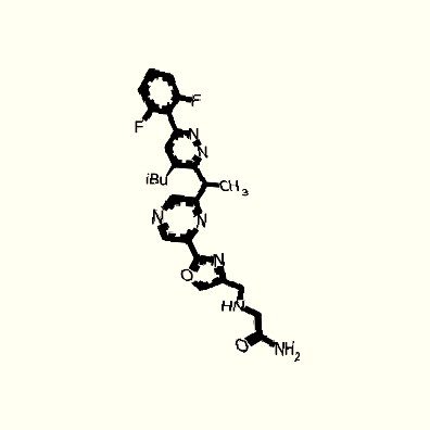 CC[C@H](C)c1cc(-c2c(F)cccc2F)nnc1C(C)c1cncc(-c2nc(CNCC(N)=O)co2)n1